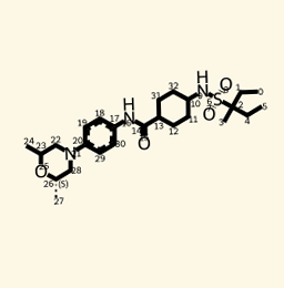 CCC(C)(CC)S(=O)(=O)NC1CCC(C(=O)Nc2ccc(N3CC(C)O[C@@H](C)C3)cc2)CC1